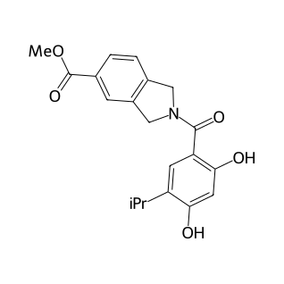 COC(=O)c1ccc2c(c1)CN(C(=O)c1cc(C(C)C)c(O)cc1O)C2